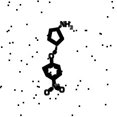 N[C@H]1CC[C@@H](COc2ccc([N+](=O)[O-])cc2)C1